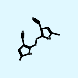 Cc1cc(C#N)c(SSc2[nH]c(C)cc2C#N)[nH]1